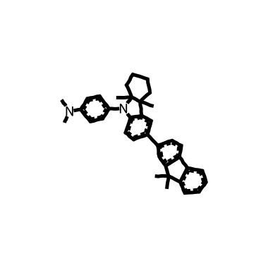 CN(C)c1ccc(N2c3ccc(-c4ccc5c(c4)C(C)(C)c4ccccc4-5)cc3C3(C)CCCCC23C)cc1